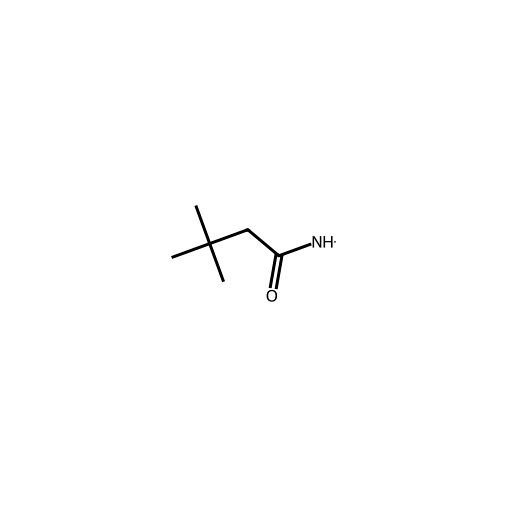 CC(C)(C)CC([NH])=O